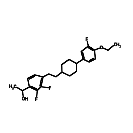 CCOc1ccc(C2CCC(CCc3ccc(C(C)O)c(F)c3F)CC2)cc1F